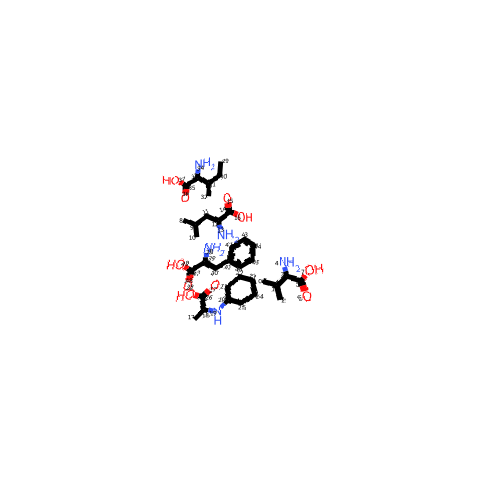 CC(C)C(N)C(=O)O.CC(C)CC(N)C(=O)O.CC(NC1CCCCC1)C(=O)O.CCC(C)C(N)C(=O)O.NC(Cc1ccccc1)C(=O)O